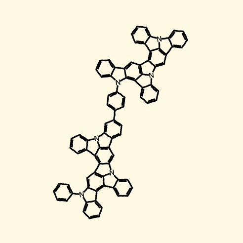 c1ccc(-n2c3ccccc3c3c4c5ccccc5n5c6cc7c8ccc(-c9ccc(-n%10c%11ccccc%11c%11cc%12c%13c%14c%15ccccc%15n%15c%16ccccc%16c(cc%13n%13c%16ccccc%16c(c%11%10)c%12%13)c%14%15)cc9)cc8n8c9ccccc9c(c6c(cc32)c45)c78)cc1